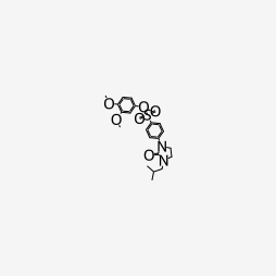 COc1ccc(OS(=O)(=O)c2ccc(N3CCN(CC(C)C)C3=O)cc2)cc1OC